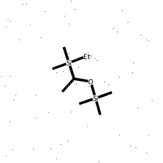 C[C][Si](C)(C)C(C)O[Si](C)(C)C